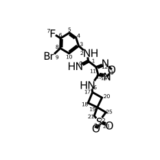 N=C(Nc1ccc(F)c(Br)c1)c1nonc1NC1CC2(C1)CS(=O)(=O)C2